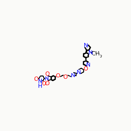 Cn1c2ccncc2c2ccc(-c3ccc(OC4CCN(C5CN(CCOCCOc6ccc7c(c6)C(=O)N(C6CCC(=O)NC6=O)C7=O)C5)CC4)nc3)cc21